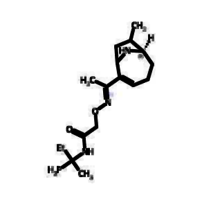 CCC(C)(P)NC(=O)CO/N=C(\C)C1=CCC[C@H]2NC1CC2C